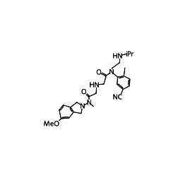 COc1ccc2c(c1)CN(N(C)C(=O)CNCC(=O)N(CCNC(C)C)c1cc(C#N)ccc1C)C2